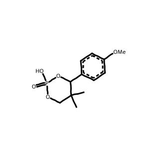 COc1ccc(C2OP(=O)(O)OCC2(C)C)cc1